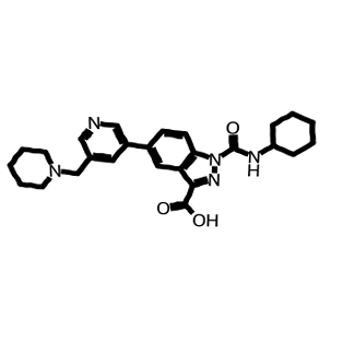 O=C(O)c1nn(C(=O)NC2CCCCC2)c2ccc(-c3cncc(CN4CCCCC4)c3)cc12